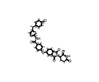 O=C1CCC(N2C(=O)c3ccc(Oc4ccc(C(=O)Nc5ncc(Cc6ccc(Cl)cc6)s5)cc4)cc3C2=O)C(=O)N1